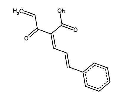 C=CC(=O)C(=CC=Cc1ccccc1)C(=O)O